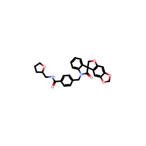 O=C(NCC1CCCO1)c1ccc(CN2C(=O)C3(COc4cc5c(cc43)OCO5)c3ccccc32)cc1